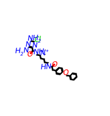 C[N+](C)(C)C(CCCCNC(=O)Cc1ccc(OCc2ccccc2)cc1)CNC(=O)c1nc(Cl)c(N)nc1N